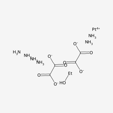 CCO.N.N.N.N.N.N.O=C([O-])C(=O)[O-].O=C([O-])C(=O)[O-].[Pt+4]